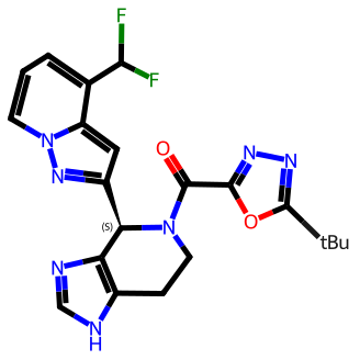 CC(C)(C)c1nnc(C(=O)N2CCc3[nH]cnc3[C@H]2c2cc3c(C(F)F)cccn3n2)o1